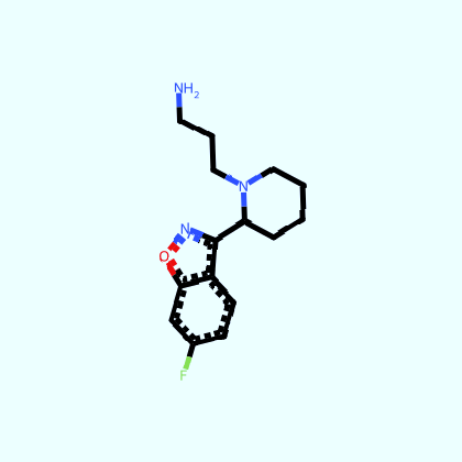 NCCCN1CCCCC1c1noc2cc(F)ccc12